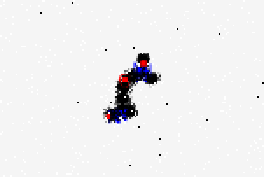 c1ccc(-c2nc(-c3ccccc3)nc(-c3ccc(Oc4ccc(-c5ccc(-c6cc(-c7ccccn7)nc7ccccc67)cc5)cc4)cc3)n2)cc1